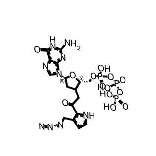 [N-]=[N+]=NCc1cc[nH]c1C(=O)CC1C[C@H](n2cnc3c(=O)[nH]c(N)nc32)O[C@@H]1COP(=O)(O)OP(=O)(O)OP(=O)(O)O